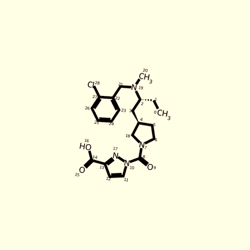 CC[C@H](C[C@H]1CCN(C(=O)n2ccc(C(=O)O)n2)C1)N(C)Cc1ccccc1Cl